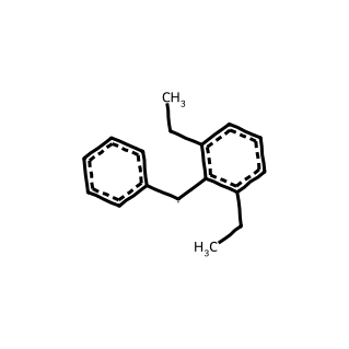 CCc1cccc(CC)c1[CH]c1ccccc1